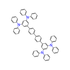 c1ccc(N(c2ccccc2)c2cc(-c3ccc(-c4ccc(-c5cc(N(c6ccccc6)c6ccccc6)cc(N(c6ccccc6)c6ccccc6)c5)cc4)cc3)cc(N(c3ccccc3)c3ccccc3)c2)cc1